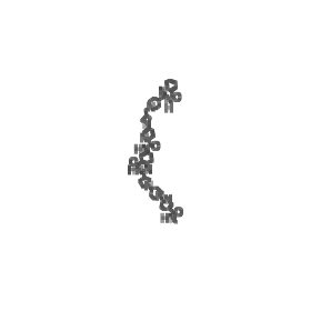 CNC(=O)c1ccc(N2CCC(N3CCC(c4nc5ccc(NC(=O)c6ccc(N7CC(CN8CCC(c9nc%10ccccc%10c(=O)[nH]9)CC8)C7)cn6)cc5c(=O)[nH]4)C3)CC2)nc1